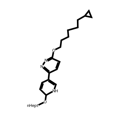 CCCCCCCOC1C=CC(c2ccc(OCCCCCCC3CC3)nn2)=CN1